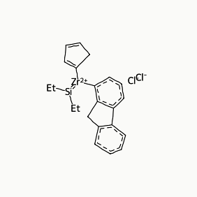 CC[Si](CC)=[Zr+2]([C]1=CC=CC1)[c]1cccc2c1Cc1ccccc1-2.[Cl-].[Cl-]